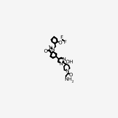 Cn1c(=O)c2ccc(-c3cnc(C4(O)CCN(C(=O)CN)CC4)nc3)cc2n1Cc1ccccc1OC(F)F